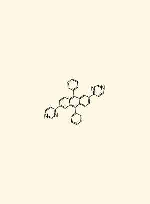 c1ccc(-c2c3ccc(-c4ccncn4)cc3c(-c3ccccc3)c3ccc(-c4ccncn4)cc23)cc1